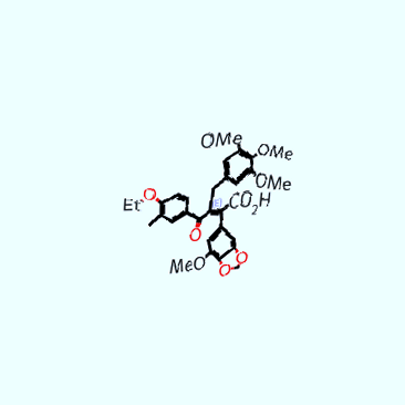 CCOc1ccc(C(=O)/C(Cc2cc(OC)c(OC)c(OC)c2)=C(/C(=O)O)c2cc(OC)c3c(c2)OCO3)cc1C